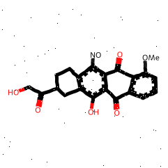 COc1cccc2c1C(=O)c1c(N=O)c3c(c(O)c1C2=O)CC(C(=O)CO)CC3